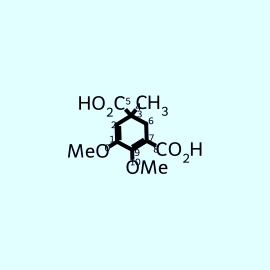 COC1=CC(C)(C(=O)O)CC(C(=O)O)=C1OC